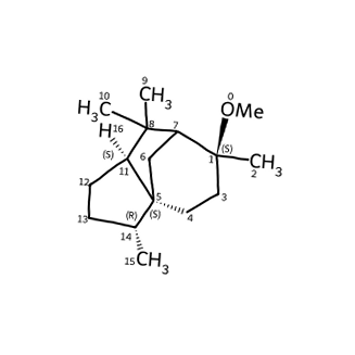 CO[C@@]1(C)CC[C@@]23CC1C(C)(C)[C@@H]2CC[C@H]3C